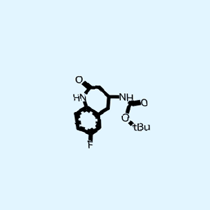 CC(C)(C)OC(=O)NC1CC(=O)Nc2ccc(F)cc2C1